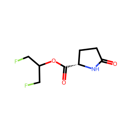 O=C1CC[C@@H](C(=O)OC(CF)CF)N1